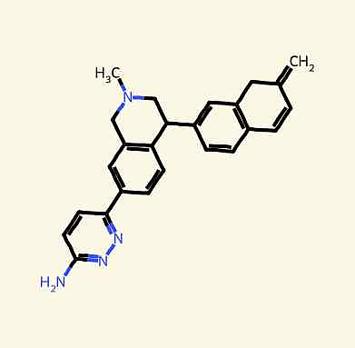 C=C1C=Cc2ccc(C3CN(C)Cc4cc(-c5ccc(N)nn5)ccc43)cc2C1